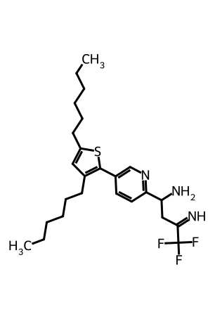 CCCCCCc1cc(CCCCCC)c(-c2ccc(C(N)CC(=N)C(F)(F)F)nc2)s1